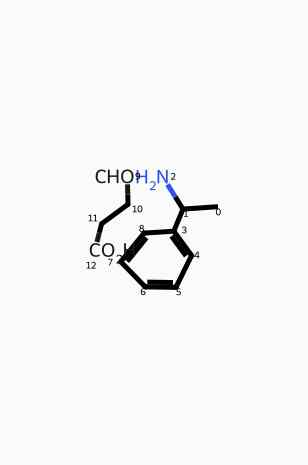 CC(N)c1ccccc1.O=CCCC(=O)O